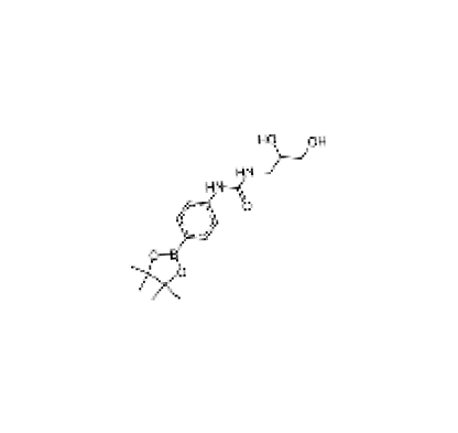 CC1(C)OB(c2ccc(NC(=O)NCC(O)CO)cc2)OC1(C)C